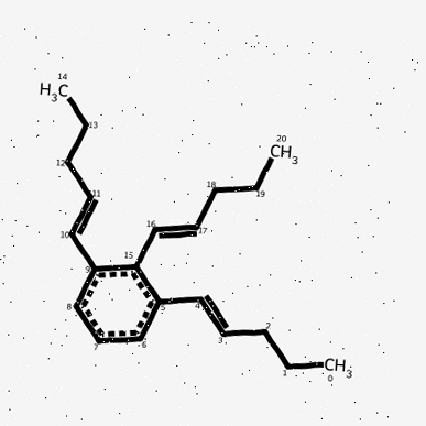 CCCC=Cc1[c]ccc(C=CCCC)c1C=CCCC